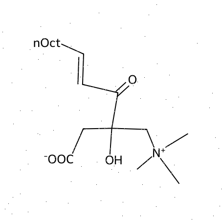 CCCCCCCCC=CC(=O)C(O)(CC(=O)[O-])C[N+](C)(C)C